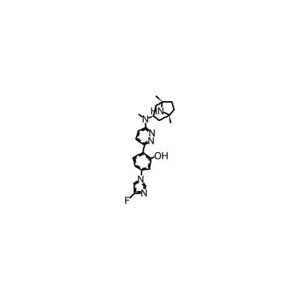 CN(c1ccc(-c2ccc(-n3cnc(F)c3)cc2O)nn1)[C@H]1C[C@]2(C)CC[C@](C)(C1)N2